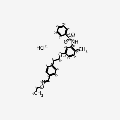 CCON=Cc1ccc(CCOc2ccc(C)c(NS(=O)(=O)c3ccccc3)c2)cc1.Cl